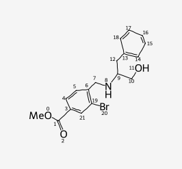 COC(=O)c1ccc(CNC(CO)Cc2ccccc2)c(Br)c1